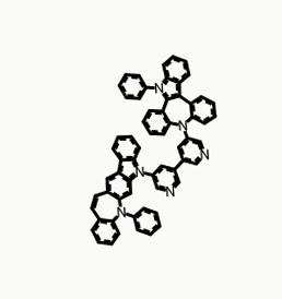 C1=Cc2cc3c4ccccc4n(-c4cncc(-c5cncc(N6c7ccccc7-c7c(n(-c8ccccc8)c8ccccc78)-c7ccccc76)c5)c4)c3cc2N(c2ccccc2)c2ccccc21